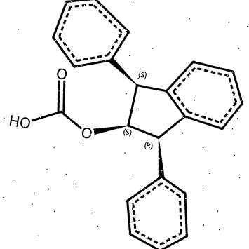 O=C(O)O[C@@H]1[C@H](c2ccccc2)c2ccccc2[C@@H]1c1ccccc1